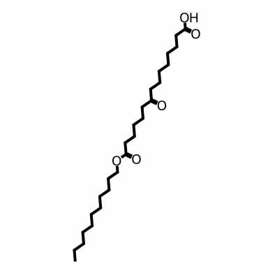 CCCCCCCCCCCOC(=O)CCCCCC(=O)CCCCCCCC(=O)O